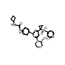 C[C@H]1COCCN1c1cc(C2(S(=O)(=O)c3ccncc3)CC2)nc(-c2ccc(NC(=O)NC3CCC3)cc2)n1